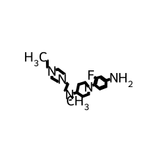 CCCN1CCN(CCN(C)C2CCN(c3ccc(N)cc3F)CC2)CC1